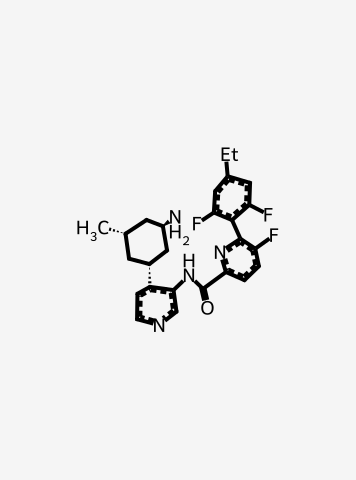 CCc1cc(F)c(-c2nc(C(=O)Nc3cnccc3[C@@H]3C[C@H](C)C[C@@H](N)C3)ccc2F)c(F)c1